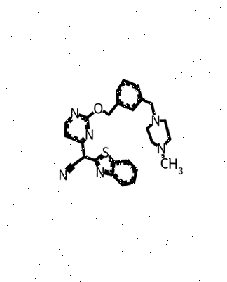 CN1CCN(Cc2cccc(COc3nccc(C(C#N)c4nc5ccccc5s4)n3)c2)CC1